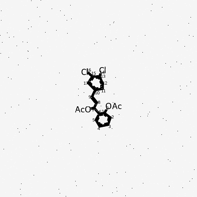 CC(=O)Oc1ccccc1C(C=Cc1ccc(Cl)c(Cl)c1)OC(C)=O